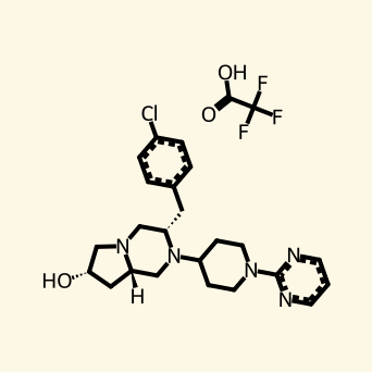 O=C(O)C(F)(F)F.O[C@H]1C[C@H]2CN(C3CCN(c4ncccn4)CC3)[C@@H](Cc3ccc(Cl)cc3)CN2C1